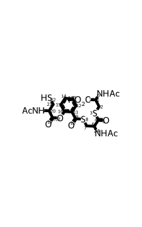 CC(=O)NC(CSC(=O)C(CSC(=O)c1ccccc1OC(=O)C(CS)NC(C)=O)NC(C)=O)C(=O)O